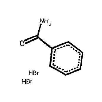 Br.Br.NC(=O)c1ccccc1